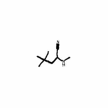 CNC(C#N)CC(C)(C)C